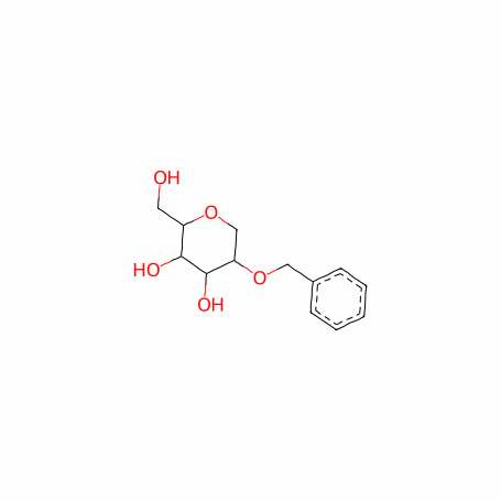 OCC1OCC(OCc2ccccc2)C(O)C1O